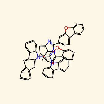 CC1C/C=C(c2c(-n3c4ccccc4c4cc5ccccc5cc43)ccc3c2oc2ccccc23)/N=C(c2ccc3c(c2)oc2ccccc23)\N=C/1n1c2ccccc2c2ccccc21